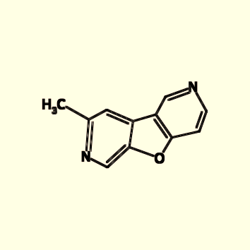 Cc1cc2c(cn1)oc1ccncc12